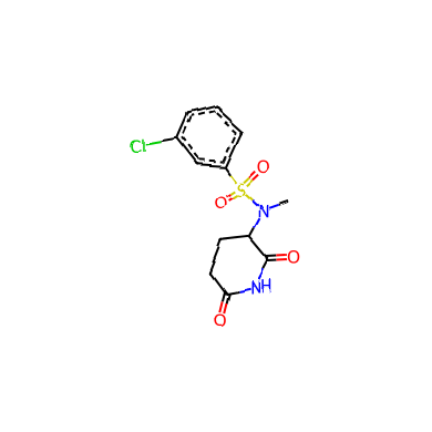 CN(C1CCC(=O)NC1=O)S(=O)(=O)c1cccc(Cl)c1